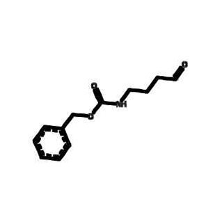 O=[C]CCCNC(=O)OCc1ccccc1